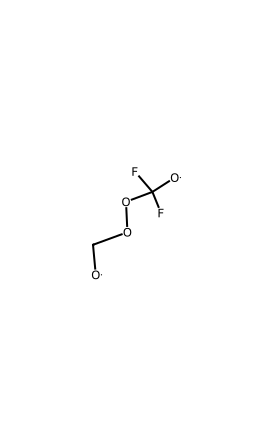 [O]COOC([O])(F)F